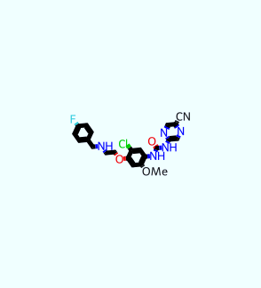 COc1cc(OCCNCc2ccc(F)cc2)c(Cl)cc1NC(=O)Nc1cnc(C#N)cn1